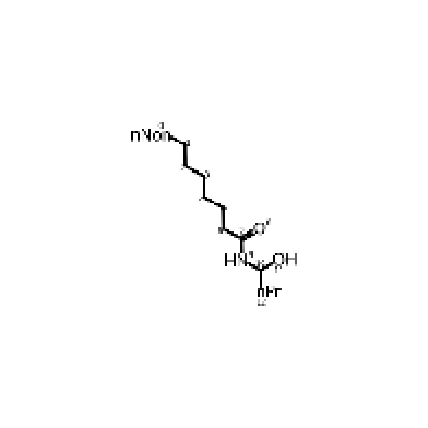 CCCCCCCCCCCCCCCC(=O)NC(O)CCC